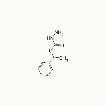 CC(OC(=O)NN)c1ccccc1